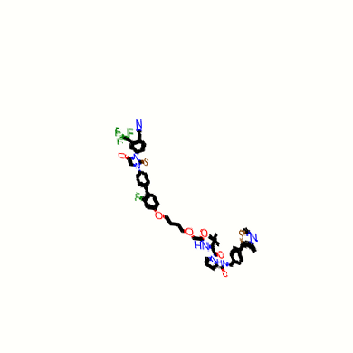 Cc1ncsc1-c1ccc(CNC(=O)[C@@H]2CCCN2C(=O)C(NC(=O)COCCCCOc2ccc(-c3ccc(N4CC(=O)N(c5ccc(C#N)c(C(F)(F)F)c5)C4=S)cc3)c(F)c2)C(C)(C)C)cc1